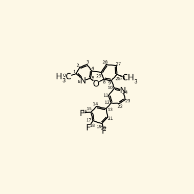 Cc1ccc2c(n1)oc1c(-c3cc(-c4cc(F)c(F)c(F)c4)ccn3)c(C)ccc12